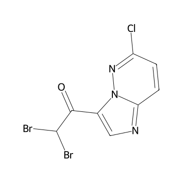 O=C(c1cnc2ccc(Cl)nn12)C(Br)Br